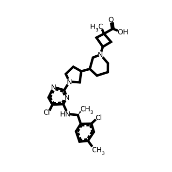 Cc1ccc([C@@H](C)Nc2nc(N3CCC(C4CCCN(C5CC(C)(C(=O)O)C5)C4)C3)ncc2Cl)c(Cl)c1